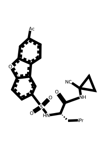 CC(=O)c1ccc2c(c1)oc1ccc(S(=O)(=O)N[C@@H](CC(C)C)C(=O)NC3(C#N)CC3)cc12